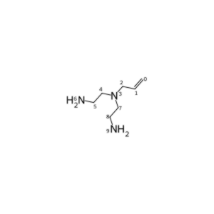 C=CCN(CCN)CCN